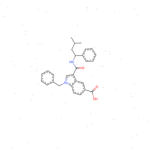 CC(C)CC(NC(=O)c1cn(Cc2ccccc2)c2ccc(C(=O)O)cc12)c1ccccc1